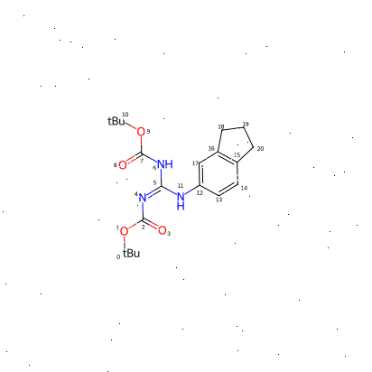 CC(C)(C)OC(=O)/N=C(/NC(=O)OC(C)(C)C)Nc1ccc2c(c1)CCC2